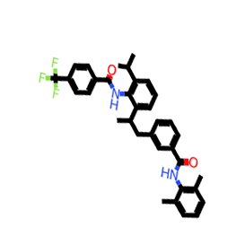 Cc1cccc(C)c1NC(=O)c1cccc(CC(C)c2cccc(C(C)C)c2NC(=O)c2ccc(C(F)(F)F)cc2)c1